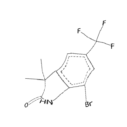 CC1(C)C(=O)Nc2c(Br)cc(C(F)(F)F)cc21